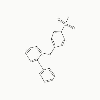 CS(=O)(=O)c1ccc(Sc2ccccc2-c2ccccc2)cc1